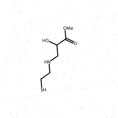 COC(=O)C(O)CNCCS